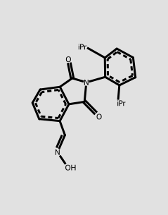 CC(C)c1cccc(C(C)C)c1N1C(=O)c2cccc(C=NO)c2C1=O